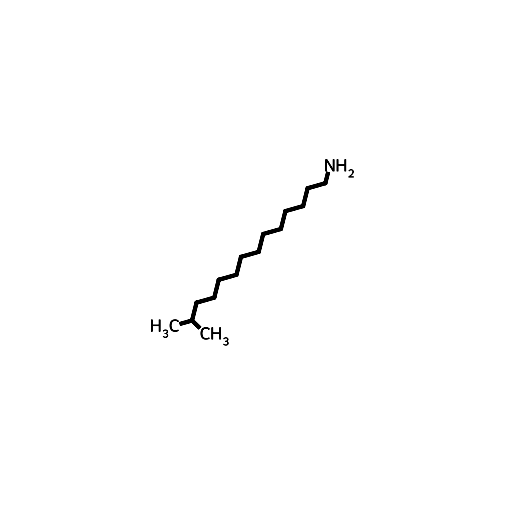 CC(C)CCCCCCCCCCCCN